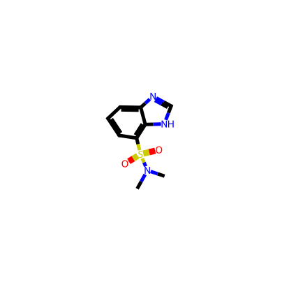 CN(C)S(=O)(=O)c1cccc2nc[nH]c12